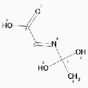 CC(O)(O)N=CC(=O)O